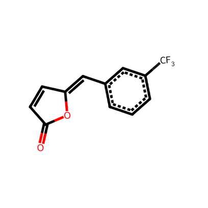 O=C1C=C/C(=C/c2cccc(C(F)(F)F)c2)O1